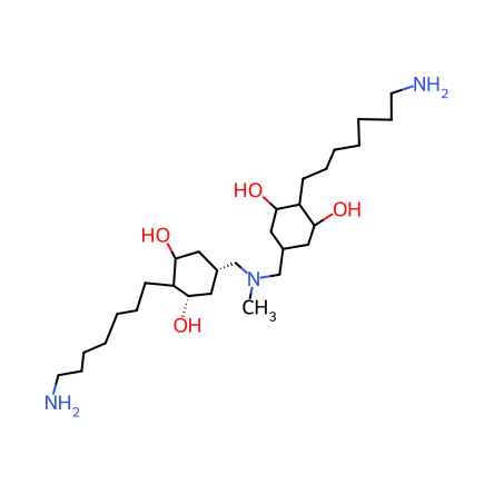 CN(CC1CC(O)C(CCCCCCCN)C(O)C1)C[C@H]1CC(O)C(CCCCCCCN)[C@@H](O)C1